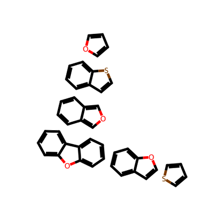 c1ccc2c(c1)oc1ccccc12.c1ccc2cocc2c1.c1ccc2occc2c1.c1ccc2sccc2c1.c1ccoc1.c1ccsc1